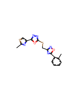 Cc1nc(-c2nnc(SCc3noc(-c4ccccc4C)n3)o2)cs1